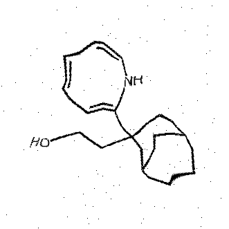 OCCC1(C2=CC=CC=CN2)CC2CCC1C2